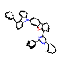 c1ccc(-c2cc(-c3cccc4c3oc3cc(-n5c6ccccc6c6c(-c7ccccc7)cccc65)ccc34)nc(-c3ccccc3)n2)cc1